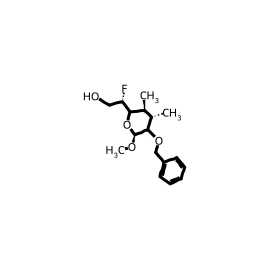 CO[C@H]1OC([C@@H](F)CO)[C@@H](C)[C@H](C)C1OCc1ccccc1